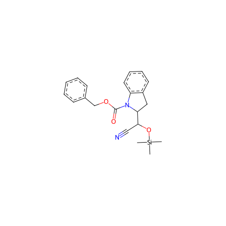 C[Si](C)(C)OC(C#N)C1Cc2ccccc2N1C(=O)OCc1ccccc1